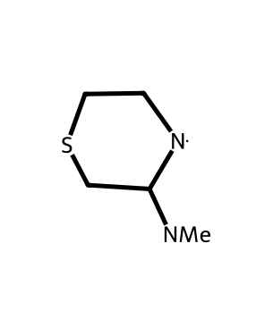 CNC1CSCC[N]1